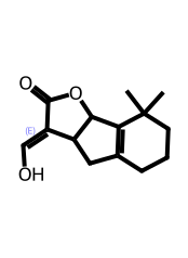 CC1(C)CCCC2=C1C1OC(=O)/C(=C/O)C1C2